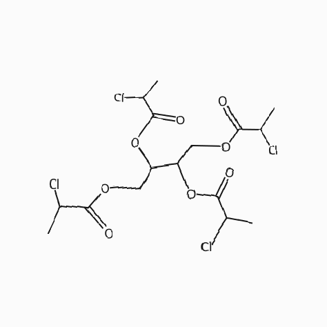 CC(Cl)C(=O)OCC(OC(=O)C(C)Cl)C(COC(=O)C(C)Cl)OC(=O)C(C)Cl